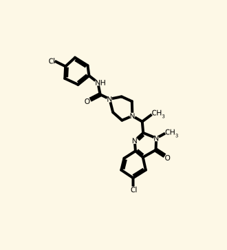 CC(c1nc2ccc(Cl)cc2c(=O)n1C)N1CCN(C(=O)Nc2ccc(Cl)cc2)CC1